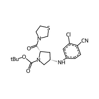 CC(C)(C)OC(=O)N1C[C@@H](Nc2ccc(C#N)c(Cl)c2)C[C@H]1C(=O)N1CCSC1